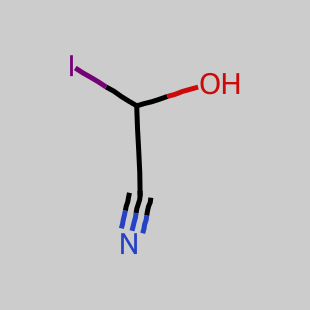 N#CC(O)I